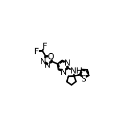 FC(F)c1nnc(-c2cnc(NC3(c4cccs4)CCCC3)nc2)o1